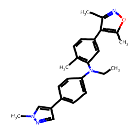 CCN(c1ccc(-c2cnn(C)c2)cc1)c1cc(-c2c(C)noc2C)ccc1C